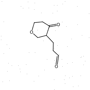 O=CCCC1COCCC1=O